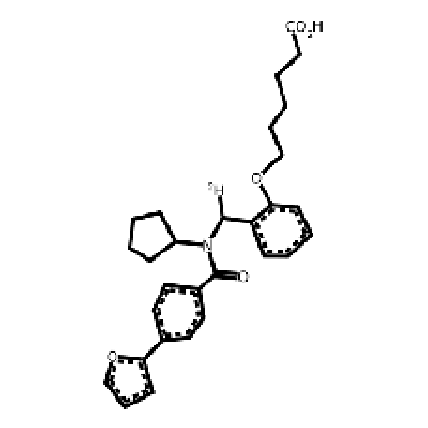 [2H]C(c1ccccc1OCCCCCC(=O)O)N(C(=O)c1ccc(-c2ccco2)cc1)C1CCCC1